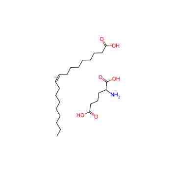 CCCCCCCC/C=C\CCCCCCCC(=O)O.NC(CCCC(=O)O)C(=O)O